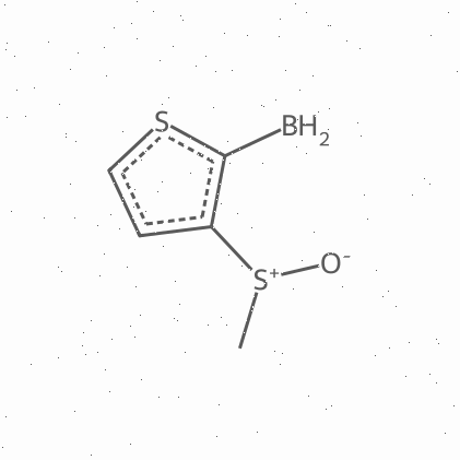 Bc1sccc1[S+](C)[O-]